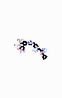 CN(C(=O)c1ccc(N2CCN(CC3CCN(/C(N)=C/C=C(\N)NC(=O)C4CCCCC4)CC3)CC2)cc1C=O)C1CCC(=O)NC1=O